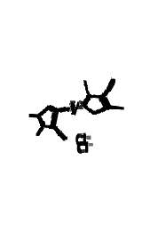 CC1=C(C)C(C)=[C]([V+2][C]2=C(C)C(C)=C(C)C2)C1.[Cl-].[Cl-]